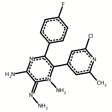 Cc1cc(-c2c(-c3ccc(F)cc3)nc(N)/c(=N/N)n2N)cc(Cl)n1